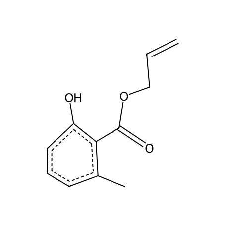 C=CCOC(=O)c1c(C)cccc1O